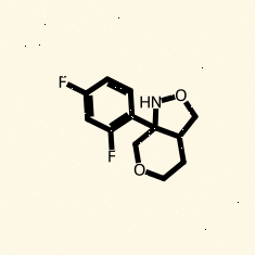 Fc1ccc(C23COCCC2CON3)c(F)c1